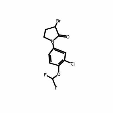 O=C1C(Br)CCN1c1ccc(OC(F)F)c(Cl)c1